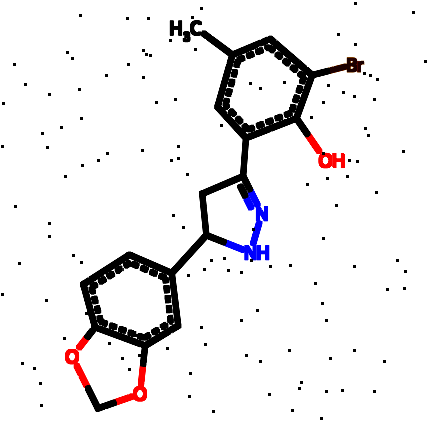 Cc1cc(Br)c(O)c(C2=NNC(c3ccc4c(c3)OCO4)C2)c1